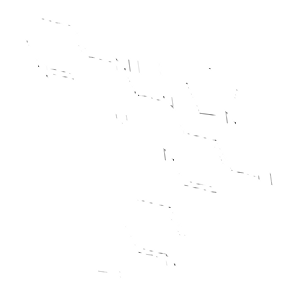 Cc1ccc(-c2cc(C)c3c(n2)N(C(=O)Nc2cccnc2)[C@H]2CCN3C2)cn1